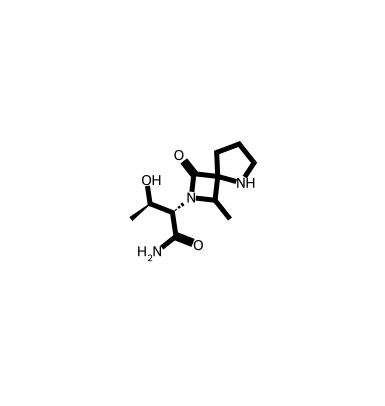 CC1N([C@H](C(N)=O)[C@@H](C)O)C(=O)C12CCCN2